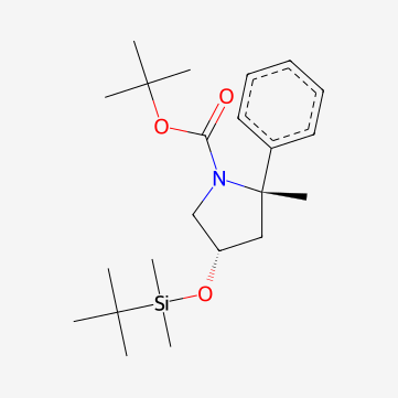 CC(C)(C)OC(=O)N1C[C@@H](O[Si](C)(C)C(C)(C)C)C[C@@]1(C)c1ccccc1